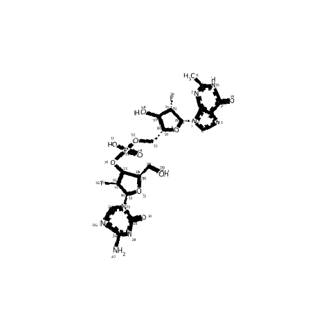 Cc1nc2c(ncn2[C@@H]2O[C@H](COP(=O)(O)OC3[C@@H](CO)O[C@@H](n4cnc(N)nc4=O)[C@H]3F)C(O)[C@@H]2F)c(=O)[nH]1